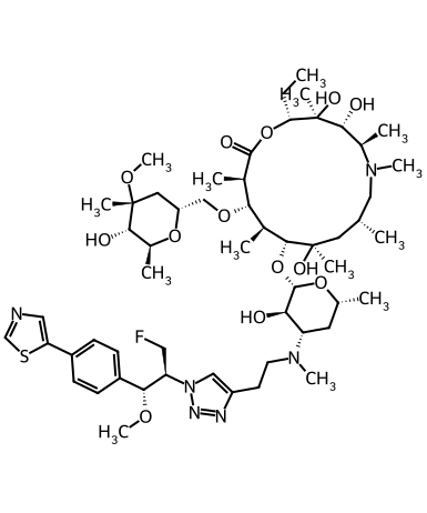 CC[C@H]1OC(=O)[C@H](C)[C@@H](OC[C@H]2C[C@@](C)(OC)[C@@H](O)[C@H](C)O2)[C@H](C)[C@@H](O[C@@H]2O[C@H](C)C[C@H](N(C)CCc3cn([C@H](CF)[C@H](OC)c4ccc(-c5cncs5)cc4)nn3)[C@H]2O)[C@](C)(O)C[C@@H](C)CN(C)[C@H](C)[C@@H](O)[C@]1(C)O